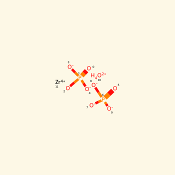 O=P([O-])([O-])[O-].O=P([O-])([O-])[O-].[OH4+2].[Zr+4]